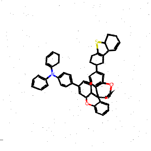 C1=CCCC(N(c2ccccc2)c2ccc(C3=CC4Oc5ccccc5C5(C6=CCCC=C6Oc6cc(C7CCC8=C(C7)C7C=CCCC7S8)ccc65)C4C=C3)cc2)=C1